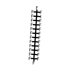 FC(F)(F)C(F)(F)C(F)(F)C(F)(F)C(F)(F)C(F)(F)C(F)(F)C(F)(F)C(F)(F)C(F)(F)C(F)(I)C(F)(F)F